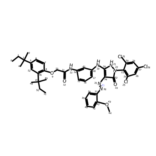 CCC(C)(C)c1ccc(OCC(=O)Nc2cccc(Nc3[nH]n(-c4c(Cl)cc(Cl)cc4Cl)c(=O)c3/N=N/c3ccccc3OC)c2)c(C(C)(C)CC)c1